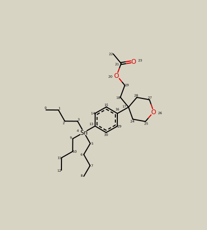 CCC[CH2][Sn]([CH2]CCC)([CH2]CCC)[c]1ccc(C2(CCOC(C)=O)CCOCC2)cc1